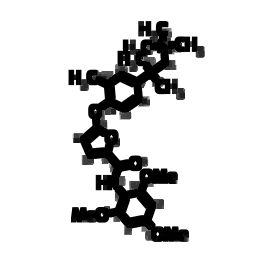 COc1cc(OC)c(NC(=O)c2ccc(Oc3ccc(C(C)(C)C[Si](C)(C)C)cc3C)o2)c(OC)c1